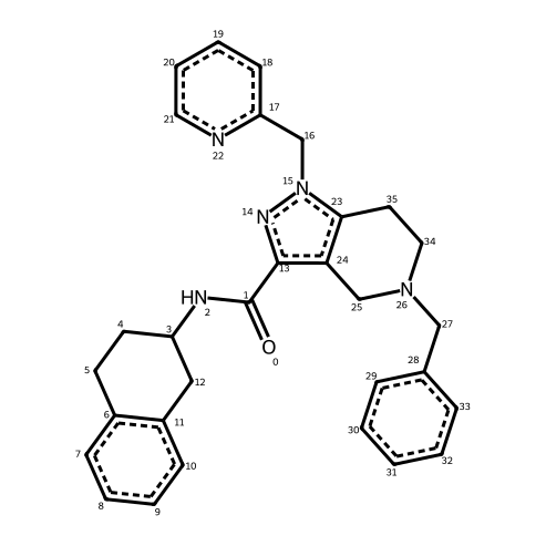 O=C(NC1CCc2ccccc2C1)c1nn(Cc2ccccn2)c2c1CN(Cc1ccccc1)CC2